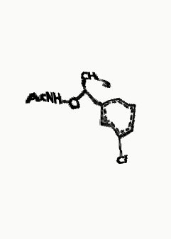 CC(=O)NO[C@@H](C)c1cccc(Cl)c1